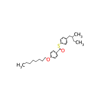 CCCCCCCCOc1ccc(C(=O)Sc2ccc(CC(C)CC)cc2)cc1